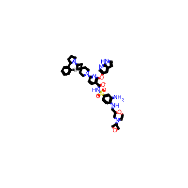 CC(C)c1ccccc1C1CCCN1C1CC2(CCN(c3ccc(C(=O)NS(=O)(=O)c4ccc(NCC5CN(C6COC6)CCO5)c(N)c4)c(Oc4cnc5[nH]ccc5c4)n3)CC2)C1